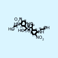 O=[N+]([O-])c1ccc(C(CO)S(=O)(=O)C(CO)c2ccc([N+](=O)[O-])c(NCCO)c2)cc1NCCO